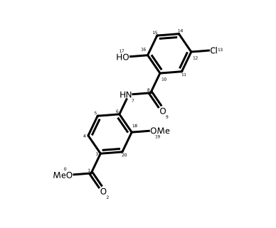 COC(=O)c1ccc(NC(=O)c2cc(Cl)ccc2O)c(OC)c1